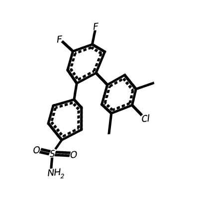 Cc1cc(-c2cc(F)c(F)cc2-c2ccc(S(N)(=O)=O)cc2)cc(C)c1Cl